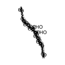 C=CC(=O)OCCCCCCOc1ccc(C(=O)OC2CCC(C(=O)Oc3ccc(-c4ccc(OC(=O)C5CCC(OC(=O)c6ccc(OCCCCCCOC(=O)C=C)cc6)CC5)c(C=O)c4)cc3C=O)CC2)cc1